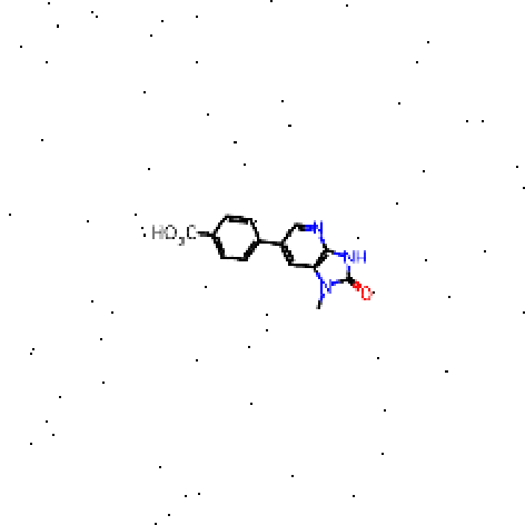 Cn1c(=O)[nH]c2ncc(-c3ccc(C(=O)O)cc3)cc21